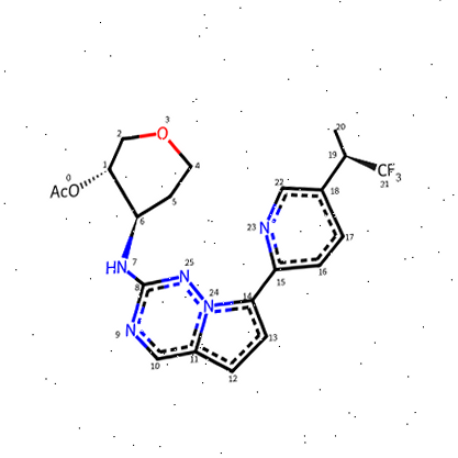 CC(=O)O[C@@H]1COCC[C@H]1Nc1ncc2ccc(-c3ccc([C@@H](C)C(F)(F)F)cn3)n2n1